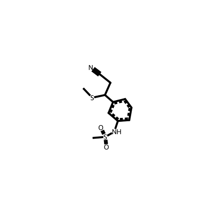 CSC(CC#N)c1cccc(NS(C)(=O)=O)c1